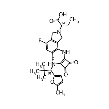 CC[C@@H](C(=O)O)N1Cc2c(F)cc(F)c(Nc3c(N[C@@H](c4ccc(C)o4)C(C)(C)C)c(=O)c3=O)c2C1